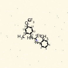 CC/C(=N\c1ccccc1C)Nc1ccc(OC(F)(F)F)cc1C